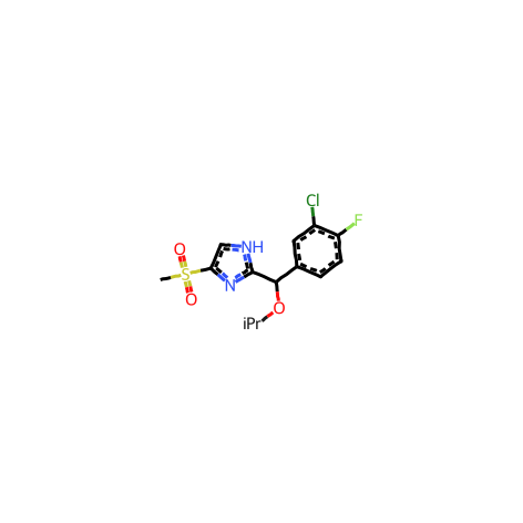 CC(C)OC(c1ccc(F)c(Cl)c1)c1nc(S(C)(=O)=O)c[nH]1